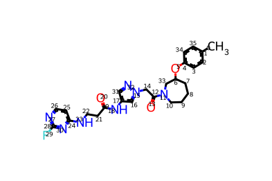 Cc1ccc(OC2CCCCN(C(=O)Cn3cc(NC(=O)CCNc4ccnc(F)n4)cn3)C2)cc1